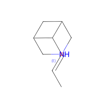 C/C=C/C1C2CNCC1C2